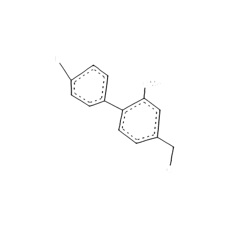 COc1cc(C[O])ccc1-c1ccc(F)cc1